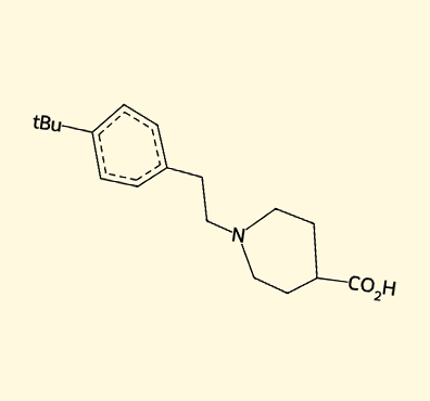 CC(C)(C)c1ccc(CCN2CCC(C(=O)O)CC2)cc1